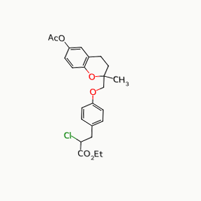 CCOC(=O)C(Cl)Cc1ccc(OCC2(C)CCc3cc(OC(C)=O)ccc3O2)cc1